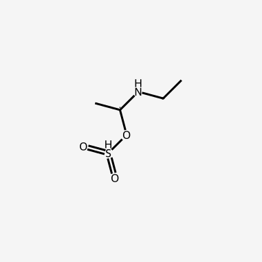 CCN[C](C)O[SH](=O)=O